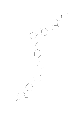 Cc1c([C@@H](C)NC(=O)c2noc(C(C)(C)C)n2)ccc(-c2ncnc3[nH]c(-c4ccc(N5CCN(CC6CCN(c7ccc(N8CCC(=O)NC8=O)cc7)CC6)CC5)nc4)cc23)c1F